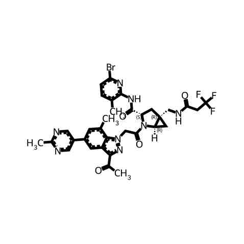 CC(=O)c1nn(CC(=O)N2[C@H](C(=O)Nc3nc(Br)ccc3C)C[C@@]3(CNC(=O)CC(F)(F)F)C[C@@H]23)c2c(C)cc(-c3cnc(C)nc3)cc12